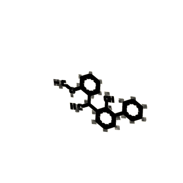 COc1ccccc1C(C)c1cccc(-c2ccccc2)c1O